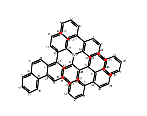 c1ccc(-c2ccc(-c3ccccc3)c(N(c3ccccc3-c3cccc4c3ccc3ccccc34)c3ccccc3-c3cccc4cccc(-c5ccccc5)c34)c2)cc1